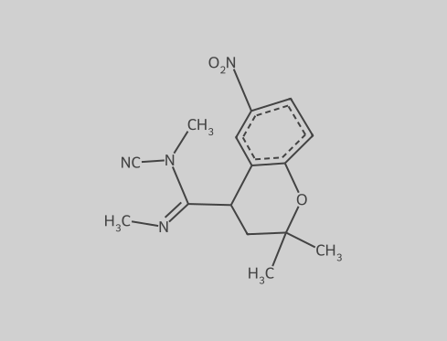 CN=C(C1CC(C)(C)Oc2ccc([N+](=O)[O-])cc21)N(C)C#N